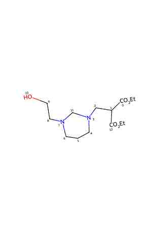 CCOC(=O)C(CN1CCCN(CCO)C1)C(=O)OCC